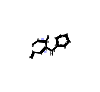 C=C/C=C(Nc1ccccc1)\C(C)=C/C